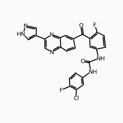 O=C(Nc1ccc(F)c(Cl)c1)Nc1ccc(F)c(C(=O)c2ccc3ncc(-c4cn[nH]c4)nc3c2)c1